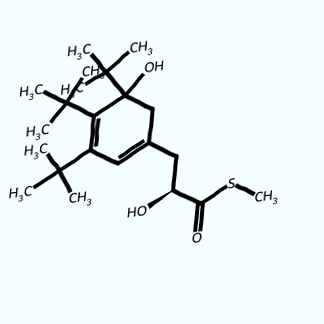 CSC(=O)[C@@H](O)CC1=CC(C(C)(C)C)=C(C(C)(C)C)C(O)(C(C)(C)C)C1